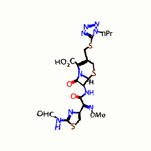 CCCn1nnnc1SCC1=C(C(=O)O)N2C(=O)C(NC(=O)C(=NOC)c3csc(NC=O)n3)[C@@H]2SC1